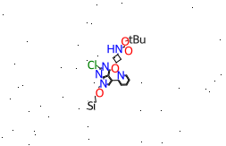 CC(C)(C)OC(=O)N[C@H]1C[C@H](Oc2nc(Cl)nc3c2c(-c2ccccn2)cn3COCC[Si](C)(C)C)C1